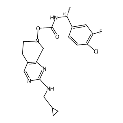 C[C@@H](NC(=O)ON1CCc2cnc(NCC3CC3)nc2C1)c1ccc(Cl)c(F)c1